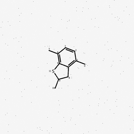 Cc1ccc(C)c2c1CC(C)S2